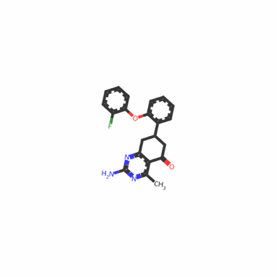 Cc1nc(N)nc2c1C(=O)CC(c1ccccc1Oc1ccccc1F)C2